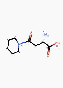 N[C@@H](CC(=O)N1CCCCC1)C(=O)O